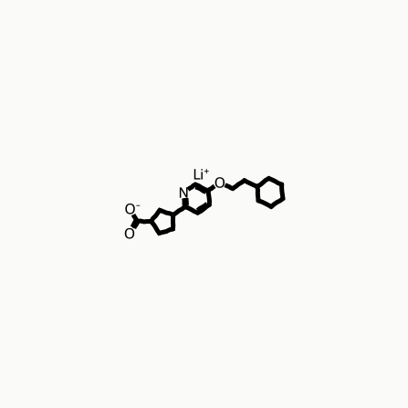 O=C([O-])C1CCC(c2ccc(OCCC3CCCCC3)cn2)C1.[Li+]